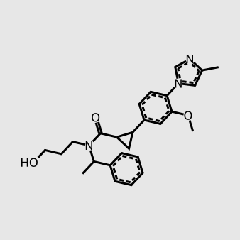 COc1cc(C2CC2C(=O)N(CCCO)C(C)c2ccccc2)ccc1-n1cnc(C)c1